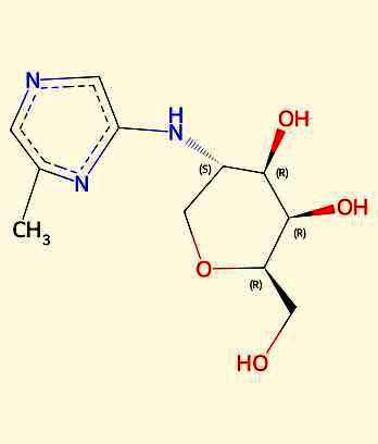 Cc1cncc(N[C@H]2CO[C@H](CO)[C@H](O)[C@@H]2O)n1